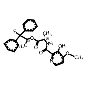 COc1ccnc(C(=O)N[C@@H](C)C(=O)O[C@@H](C)C(F)(c2ccccc2)c2ccccc2)c1O